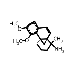 COc1ccc2c(c1OC)[C@@]13CCCC(C)(N)[C@]1(C=C2)C3